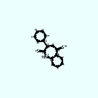 S=c1[nH]c2ccccc2c(=S)cc1-c1ccccc1